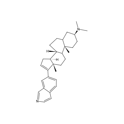 CN(C)[C@H]1CC[C@@]2(C)C(CC[C@@H]3C2CC[C@]2(C)C(c4ccc5ccncc5c4)=CC[C@@H]32)C1